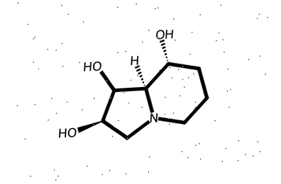 OC1[C@H](O)CN2CCC[C@@H](O)[C@H]12